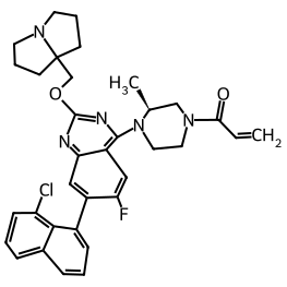 C=CC(=O)N1CCN(c2nc(OCC34CCCN3CCC4)nc3cc(-c4cccc5cccc(Cl)c45)c(F)cc23)[C@@H](C)C1